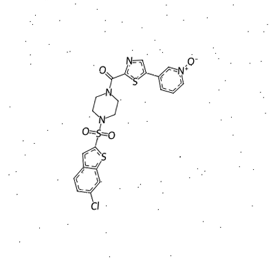 O=C(c1ncc(-c2ccc[n+]([O-])c2)s1)N1CCN(S(=O)(=O)c2cc3ccc(Cl)cc3s2)CC1